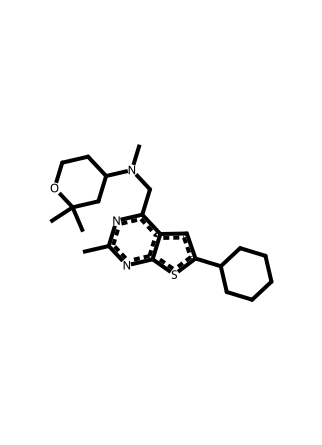 Cc1nc(CN(C)C2CCOC(C)(C)C2)c2cc(C3CCCCC3)sc2n1